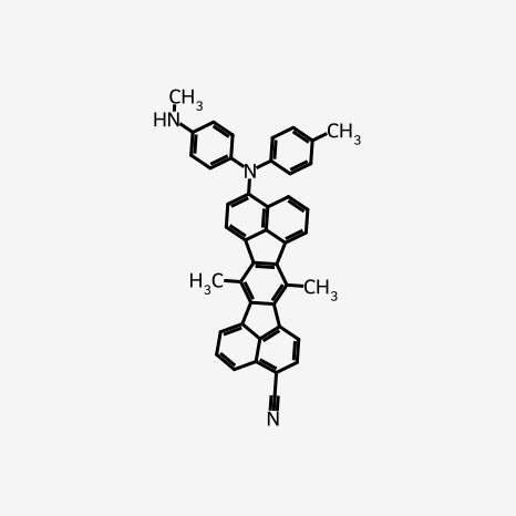 CNc1ccc(N(c2ccc(C)cc2)c2ccc3c4c(C)c5c6cccc7c(C#N)ccc(c5c(C)c4c4cccc2c43)c76)cc1